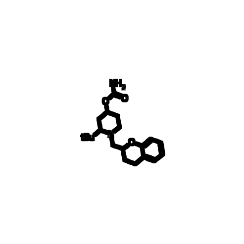 CC(C)(C)C1CC(OC(N)=O)CCN1CC1CCc2ccccc2O1